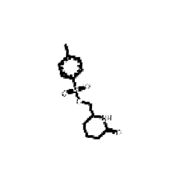 Cc1ccc(S(=O)(=O)OCC2CCCC(=O)N2)cc1